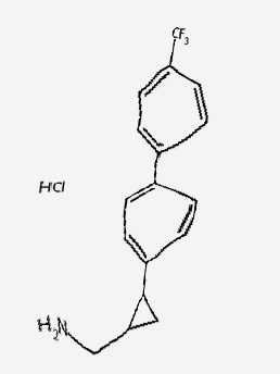 Cl.NCC1CC1c1ccc(-c2ccc(C(F)(F)F)cc2)cc1